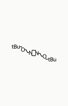 CC(C)(C)COCCN1CCN(CCOCC(C)(C)C)CC1